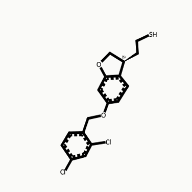 SCC[C@@H]1COc2cc(OCc3ccc(Cl)cc3Cl)ccc21